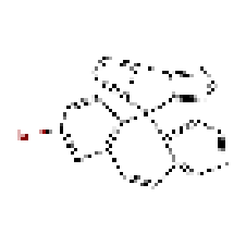 Brc1ccc2c(c1)C=Cc1ccccc1C21c2ccccc2-c2ccccc21